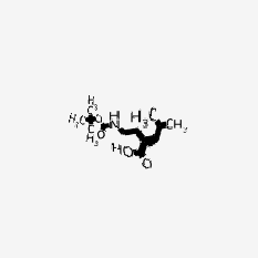 CC(C)/C=C(\CCNC(=O)OC(C)(C)C)C(=O)O